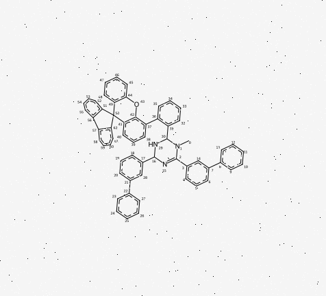 CN1C(c2cccc(-c3ccccc3)c2)=NC(c2cccc(-c3ccccc3)c2)NC1c1ccccc1-c1cccc2c1Oc1ccccc1C21c2ccccc2-c2ccccc21